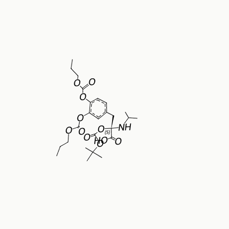 CCCOC(=O)Oc1ccc(C[C@](NC(C)C)(OC(=O)OC(C)(C)C)C(=O)O)cc1OC(=O)OCCC